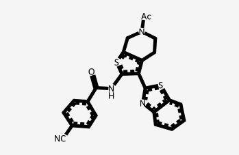 CC(=O)N1CCc2c(sc(NC(=O)c3ccc(C#N)cc3)c2-c2nc3ccccc3s2)C1